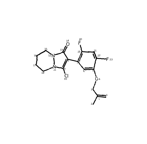 C=C(C)COc1cc(-c2c(Cl)n3n(c2=O)CCCC3)c(F)cc1F